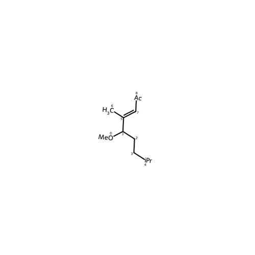 COC(CCC(C)C)/C(C)=C/C(C)=O